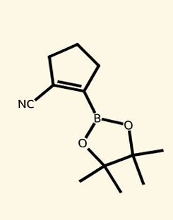 CC1(C)OB(C2=C(C#N)CCC2)OC1(C)C